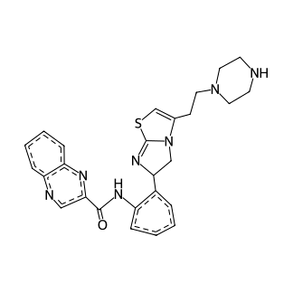 O=C(Nc1ccccc1C1CN2C(CCN3CCNCC3)=CSC2=N1)c1cnc2ccccc2n1